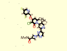 CNC(=O)C1CN(c2nccc(C3=NC=C(C)[C@H](n4c(C)cc(OCc5ncc(F)cc5F)c(Cl)c4=O)C3)n2)C1